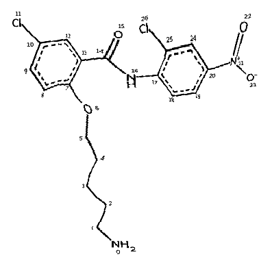 NCCCCCOc1ccc(Cl)cc1C(=O)Nc1ccc([N+](=O)[O-])cc1Cl